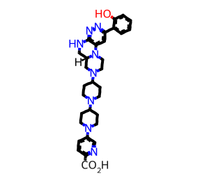 O=C(O)c1ccc(N2CCC(N3CCC(N4CCN5c6cc(-c7ccccc7O)nnc6NC[C@H]5C4)CC3)CC2)cn1